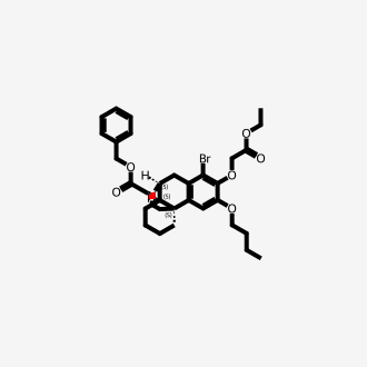 CCCCOc1cc2c(c(Br)c1OCC(=O)OCC)C[C@H]1[C@H]3CCCC[C@@]23CCN1C(=O)OCc1ccccc1